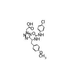 COc1ccc(CC(NC(=O)Nc2ccc(Cl)cc2)c2nnn(CC(=O)O)n2)cc1